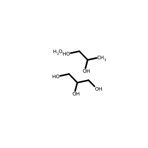 CC(O)CO.O.OCC(O)CO